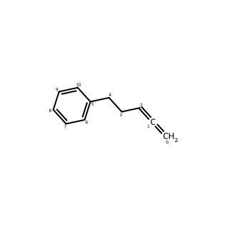 C=C=CCCc1ccccc1